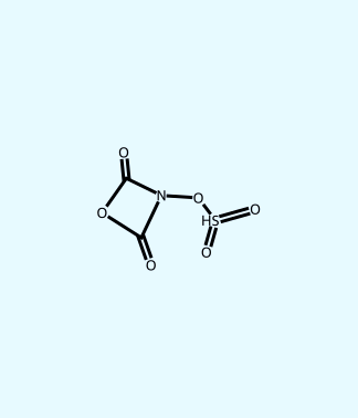 O=C1OC(=O)N1O[SH](=O)=O